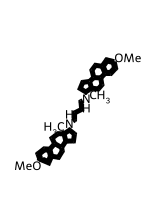 COc1ccc2c(c1)CCC1C2CC[C@@]2(C)C1CC[C@@H]2NCCCCN[C@H]1CCC2C3CCc4cc(OC)ccc4C3CC[C@@]21C